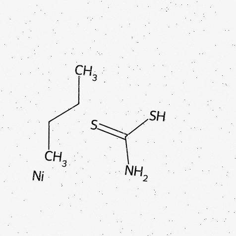 CCCC.NC(=S)S.[Ni]